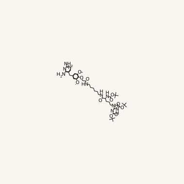 COc1cc(Cc2cnc(N)nc2N)cc(OC)c1OCC(=O)NCCCCCCNC(=O)C(CCCNC(=NC(=O)OC(C)(C)C)NC(=O)OC(C)(C)C)NC(=O)OC(C)(C)C